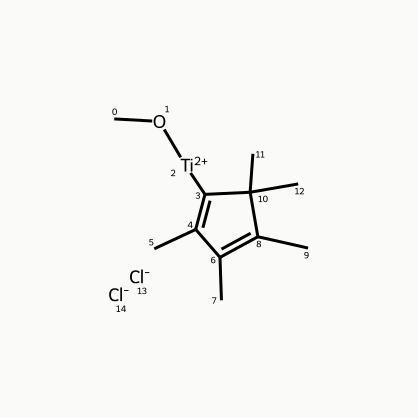 C[O][Ti+2][C]1=C(C)C(C)=C(C)C1(C)C.[Cl-].[Cl-]